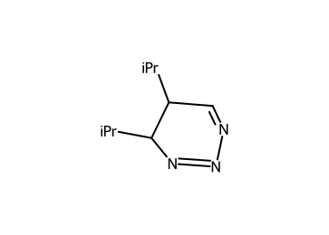 CC(C)C1C=NN=NC1C(C)C